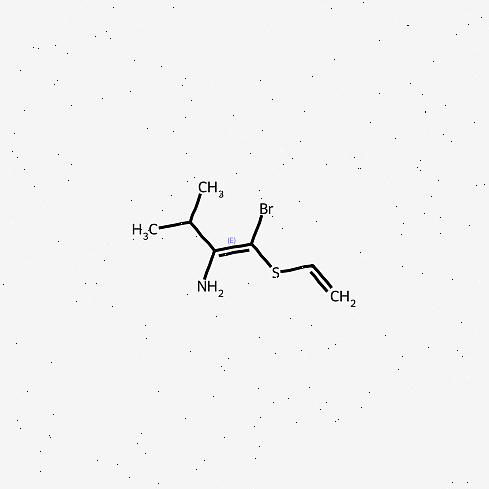 C=CS/C(Br)=C(\N)C(C)C